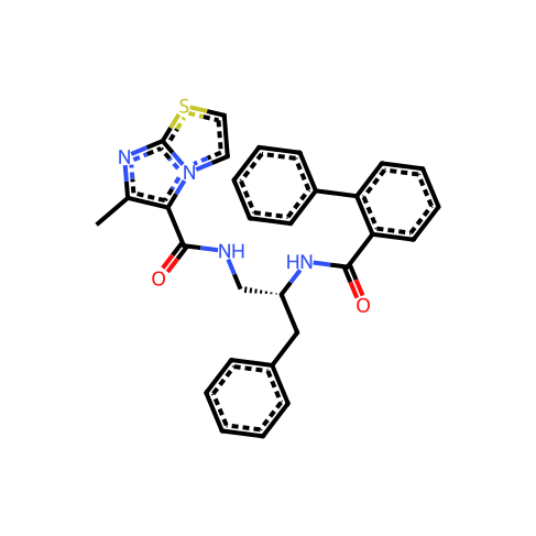 Cc1nc2sccn2c1C(=O)NC[C@@H](Cc1ccccc1)NC(=O)c1ccccc1-c1ccccc1